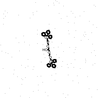 OC(COCCOCCOC(c1ccccc1)(c1ccccc1)c1ccccc1)COCCOCCOC(c1ccccc1)(c1ccccc1)c1ccccc1